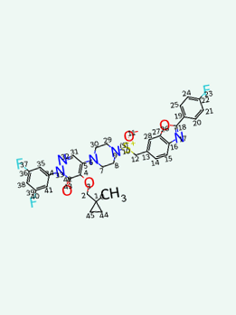 CC1(COc2c(N3CCN([S@+]([O-])Cc4ccc5nc(-c6ccc(F)cc6)oc5c4)CC3)cnn(-c3cc(F)cc(F)c3)c2=O)CC1